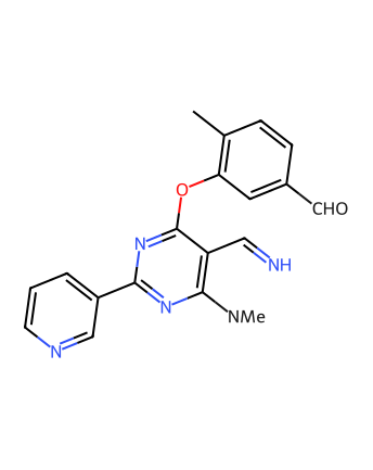 CNc1nc(-c2cccnc2)nc(Oc2cc(C=O)ccc2C)c1C=N